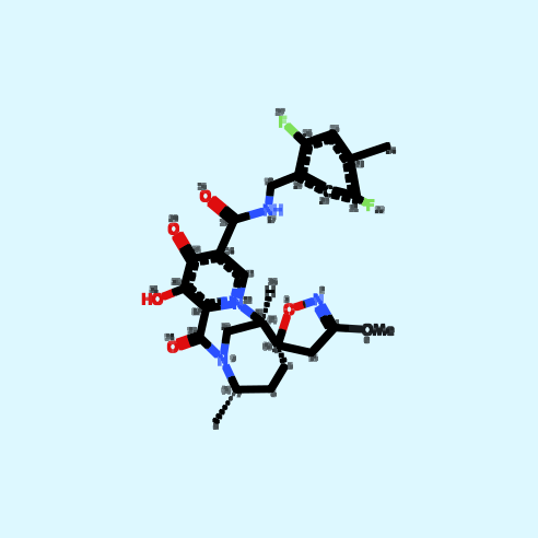 COC1=NO[C@@]2(CC[C@H](C)N3C[C@H]2n2cc(C(=O)NCc4cc(F)c(C)cc4F)c(=O)c(O)c2C3=O)C1